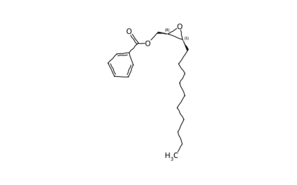 CCCCCCCCCC[C@@H]1O[C@@H]1COC(=O)c1ccccc1